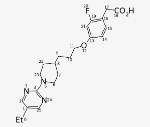 CCc1cnc(N2CCC(CCCOc3ccc(CC(=O)O)c(F)c3)CC2)nc1